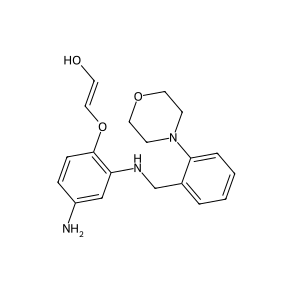 Nc1ccc(OC=CO)c(NCc2ccccc2N2CCOCC2)c1